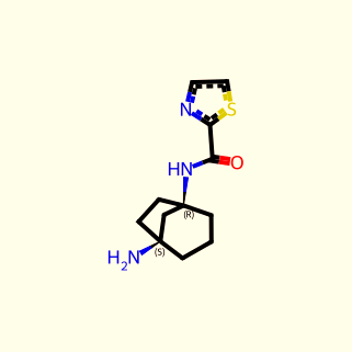 N[C@@]12CCC[C@@](NC(=O)c3nccs3)(CC1)C2